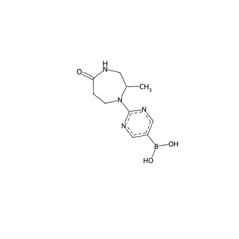 CC1CNC(=O)CCN1c1ncc(B(O)O)cn1